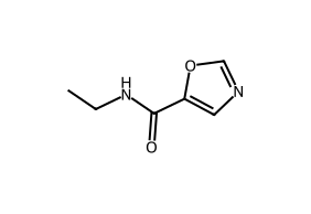 CCNC(=O)c1cnco1